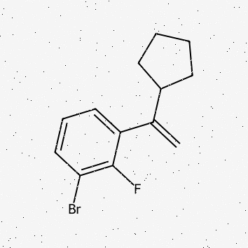 C=C(c1cccc(Br)c1F)C1CCCC1